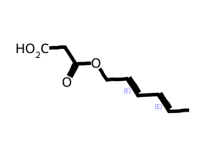 C/C=C/C=C/COC(=O)CC(=O)O